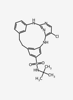 CC(C)(C)NS(=O)(=O)c1cc2cc(c1)Nc1nc(ncc1Cl)Nc1cccc(c1)CC2